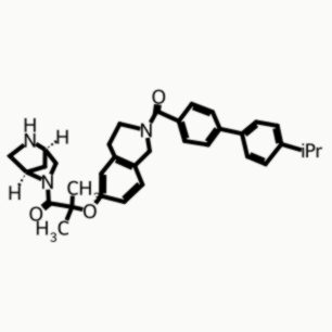 CC(C)c1ccc(-c2ccc(C(=O)N3CCc4cc(OC(C)(C)C(=O)N5C[C@H]6C[C@@H]5CN6)ccc4C3)cc2)cc1